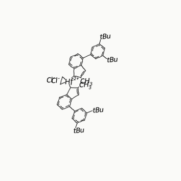 CC1=Cc2c(-c3cc(C(C)(C)C)cc(C(C)(C)C)c3)cccc2[CH]1[Hf+2]1([CH]2C(C)=Cc3c(-c4cc(C(C)(C)C)cc(C(C)(C)C)c4)cccc32)[CH2][CH2]1.[Cl-].[Cl-]